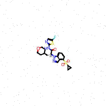 O=C(Nc1ncc(F)s1)[C@@H](CC1CCOCC1)n1ncc2c(S(=O)(=O)C3CC3)cccc21